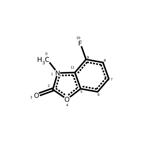 Cn1c(=O)oc2c[c]cc(F)c21